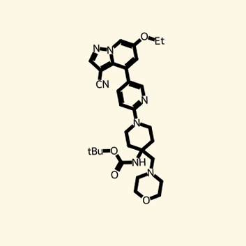 CCOc1cc(-c2ccc(N3CCC(CN4CCOCC4)(NC(=O)OC(C)(C)C)CC3)nc2)c2c(C#N)cnn2c1